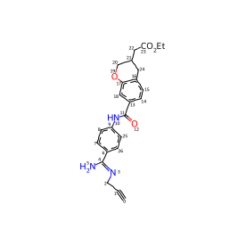 C#CCN=C(N)c1ccc(NC(=O)c2ccc3c(c2)OCC(CC(=O)OCC)C3)cc1